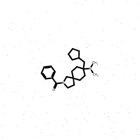 CN(C)C1(CC2CCCC2)CCC2(CCN(C(=O)c3ccccc3)C2)CC1